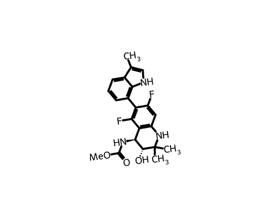 COC(=O)N[C@H]1c2c(cc(F)c(-c3cccc4c(C)c[nH]c34)c2F)NC(C)(C)[C@@H]1O